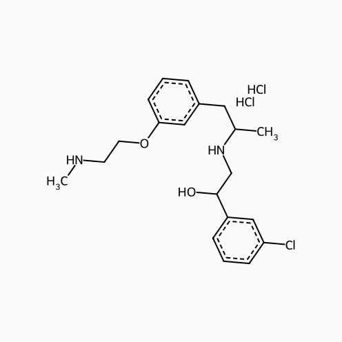 CNCCOc1cccc(CC(C)NCC(O)c2cccc(Cl)c2)c1.Cl.Cl